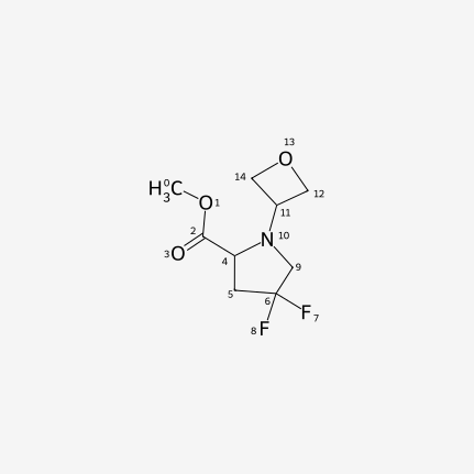 COC(=O)C1CC(F)(F)CN1C1COC1